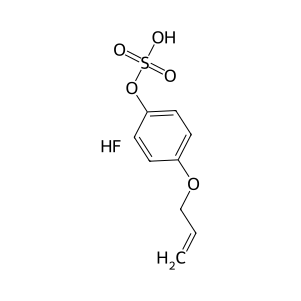 C=CCOc1ccc(OS(=O)(=O)O)cc1.F